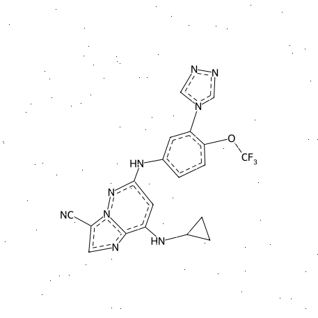 N#Cc1cnc2c(NC3CC3)cc(Nc3ccc(OC(F)(F)F)c(-n4cnnc4)c3)nn12